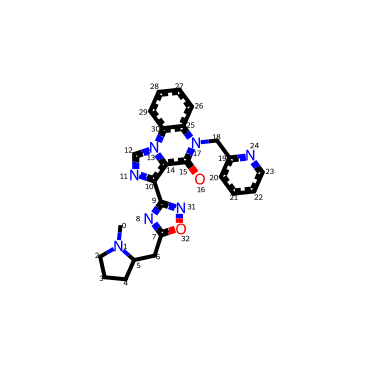 CN1CCCC1Cc1nc(-c2ncn3c2c(=O)n(Cc2ccccn2)c2ccccc23)no1